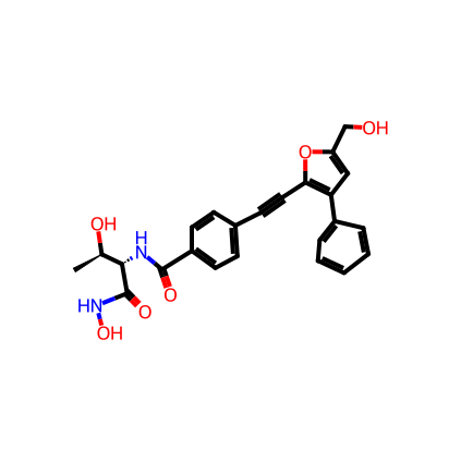 C[C@@H](O)[C@H](NC(=O)c1ccc(C#Cc2oc(CO)cc2-c2ccccc2)cc1)C(=O)NO